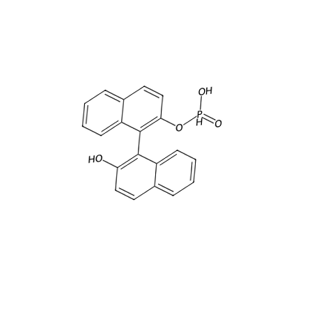 O=[PH](O)Oc1ccc2ccccc2c1-c1c(O)ccc2ccccc12